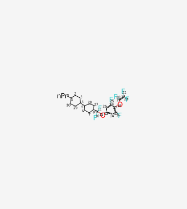 CCCC1CCC(C2CCC(C(F)(F)Oc3cc(F)c(OC(F)=C(F)F)c(F)c3)CC2)CC1